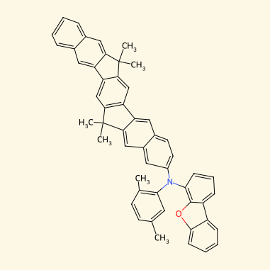 Cc1ccc(C)c(N(c2ccc3cc4c(cc3c2)C(C)(C)c2cc3c(cc2-4)C(C)(C)c2cc4ccccc4cc2-3)c2cccc3c2oc2ccccc23)c1